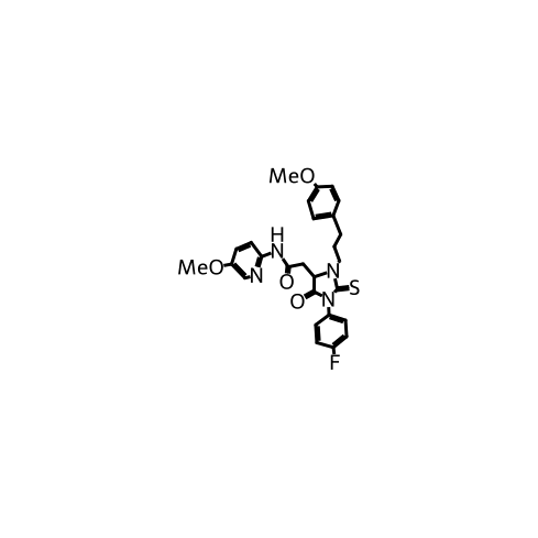 COc1ccc(CCCN2C(=S)N(c3ccc(F)cc3)C(=O)C2CC(=O)Nc2ccc(OC)cn2)cc1